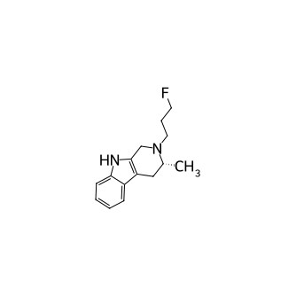 C[C@@H]1Cc2c([nH]c3ccccc23)CN1CCCF